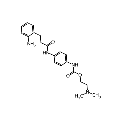 CN(C)CCOC(=O)Nc1ccc(NC(=O)CCc2ccccc2N)cc1